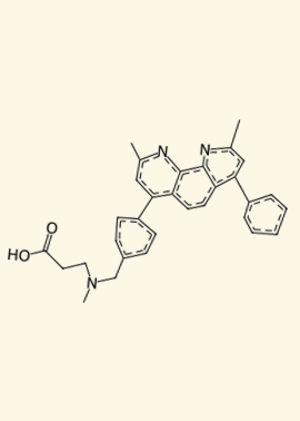 Cc1cc(-c2ccccc2)c2ccc3c(-c4ccc(CN(C)CCC(=O)O)cc4)cc(C)nc3c2n1